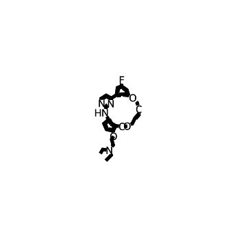 CCN(CC)CCOc1ccc2cc1COC/C=C/CCOc1cc(F)cc(c1)-c1ccnc(n1)N2